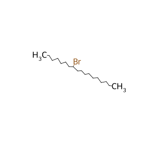 CCCCCCCCCCC(Br)CCCCCCC